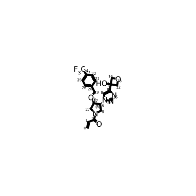 C=CC(=O)N1C[C@@H](n2cc(C3(O)COC3)nn2)[C@H](OCc2ccc(C(F)(F)F)cc2)C1